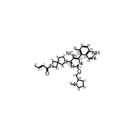 C/C=C/C(=O)N1CC2(CCN(c3nc(OCC4CCCN4C)nc(-c4c(C)ccc5[nH]ncc45)c3C#N)C2)C1